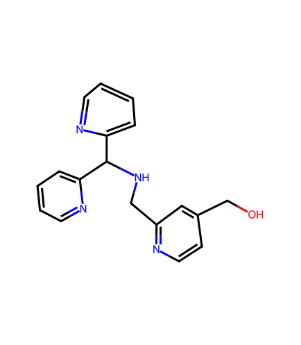 OCc1ccnc(CNC(c2ccccn2)c2ccccn2)c1